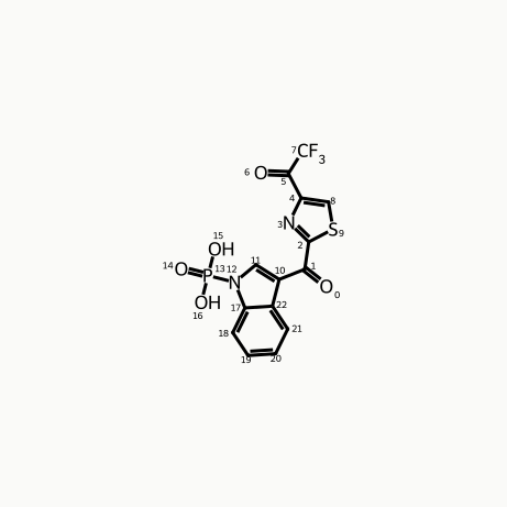 O=C(c1nc(C(=O)C(F)(F)F)cs1)c1cn(P(=O)(O)O)c2ccccc12